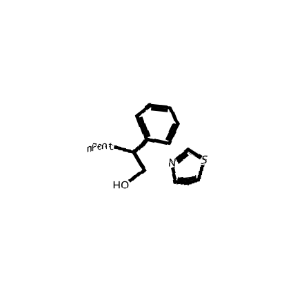 CCCCCC(CO)c1ccccc1.c1cscn1